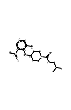 CC(C)COC(=O)N1CCC(Nc2c(Br)cncc2[N+](=O)[O-])CC1